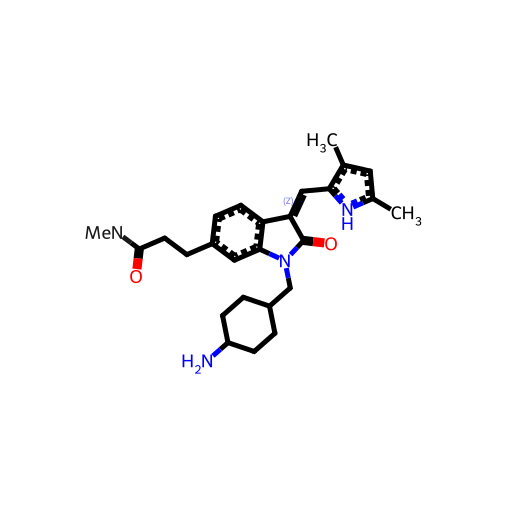 CNC(=O)CCc1ccc2c(c1)N(CC1CCC(N)CC1)C(=O)/C2=C\c1[nH]c(C)cc1C